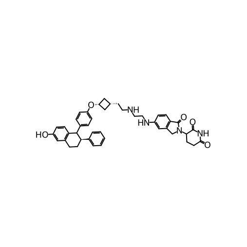 O=C1CCC(N2Cc3cc(NCCNCC[C@H]4C[C@@H](Oc5ccc(C6c7ccc(O)cc7CC[C@@H]6c6ccccc6)cc5)C4)ccc3C2=O)C(=O)N1